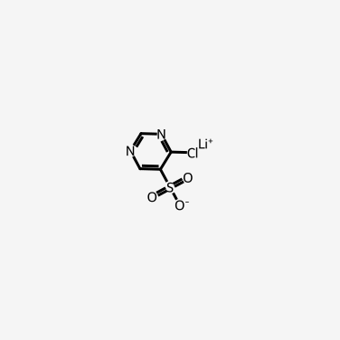 O=S(=O)([O-])c1cncnc1Cl.[Li+]